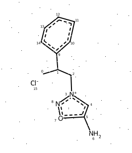 CC(C[n+]1cc(N)on1)c1ccccc1.[Cl-]